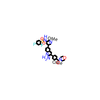 COc1cc(-c2cc3cc(-c4cnc(OC)c(NS(=O)(=O)c5ccc(F)cc5F)c4)ccc3nc2N)ccc1C(=O)N1CCOCC1